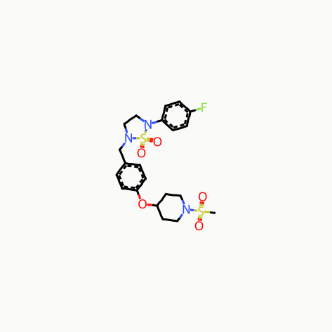 CS(=O)(=O)N1CCC(Oc2ccc(CN3CCN(c4ccc(F)cc4)S3(=O)=O)cc2)CC1